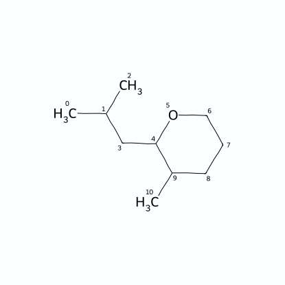 CC(C)CC1OCCCC1C